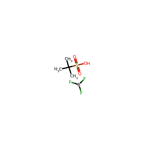 CC(C)(C)S(=O)(=O)O.FB(F)F